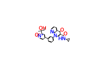 CCC(C)(O)c1cc(-c2cccc(-n3cc(C(=O)NC4CC4)c(=O)c4cccnc43)c2)cc[n+]1[O-]